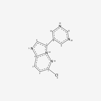 Clc1ccc2ncc(-c3cncnc3)n2n1